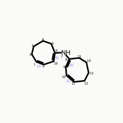 C1=C\CCCC\C(N/C2=C/C=C\CCCC2)=C/1